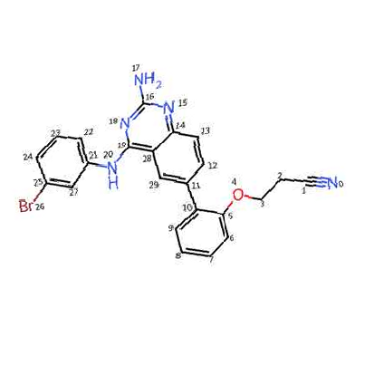 N#CCCOc1ccccc1-c1ccc2nc(N)nc(Nc3cccc(Br)c3)c2c1